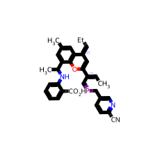 C/C=C(\C=P/Cc1ccc(C#N)nc1)C1=C/C(=C/CC)c2cc(C)cc(C(C)Nc3ccccc3C(=O)O)c2O1